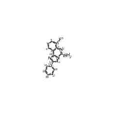 Nc1nc2c(F)cccc2c2nc(-c3ccccc3)cn12